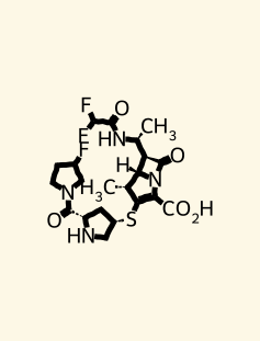 C[C@@H](NC(=O)C(F)F)[C@H]1C(=O)N2C(C(=O)O)=C(S[C@@H]3CN[C@H](C(=O)N4CCC(F)C4)C3)[C@H](C)[C@H]12